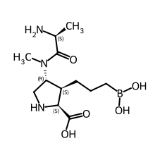 C[C@H](N)C(=O)N(C)[C@H]1CN[C@H](C(=O)O)[C@@H]1CCCB(O)O